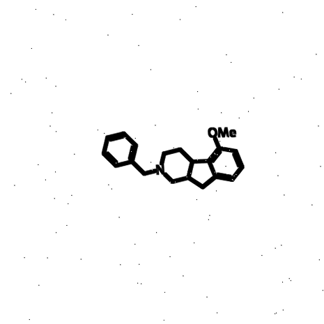 COc1cccc2c1C1CCN(Cc3ccccc3)CC1C2